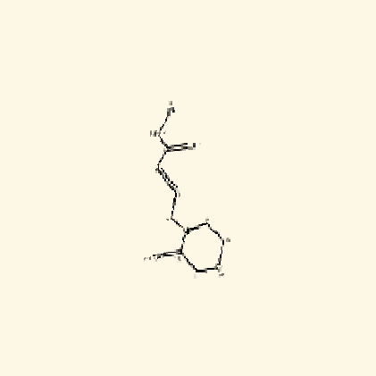 CC(C)NC(=O)/C=C/CN1CCOCC1=O